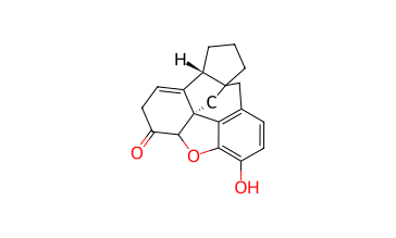 O=C1CC=C2[C@@H]3CCCC34Cc3ccc(O)c5c3[C@@]2(C4)C1O5